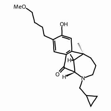 COCCCCc1cc2c(cc1O)[C@@]1(C)CCCN(CC3CC3)[C@H](C2=O)[C@@H]1C